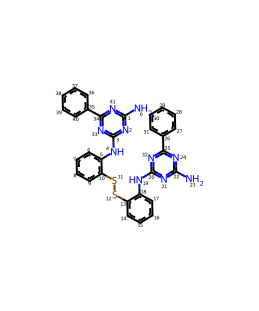 Nc1nc(Nc2ccccc2SSc2ccccc2Nc2nc(N)nc(-c3ccccc3)n2)nc(-c2ccccc2)n1